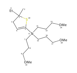 CCC1(C)CC=C([Si](CCCOC)(CCCOC)CCCOC)S1